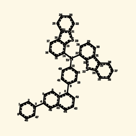 c1ccc(-c2ccc3c(-c4ccc(N(c5cccc6c5sc5ccccc56)c5cccc6c5sc5ccccc56)cc4)cccc3c2)cc1